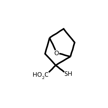 O=C(O)C1(S)CC2CCC1O2